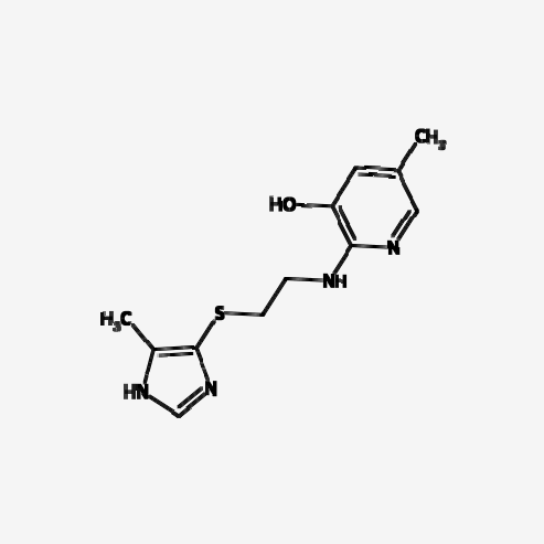 Cc1cnc(NCCSc2nc[nH]c2C)c(O)c1